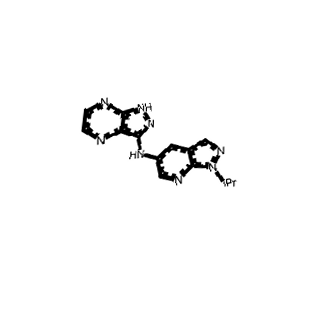 CC(C)n1ncc2cc(Nc3n[nH]c4nccnc34)cnc21